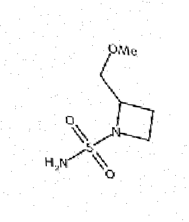 COCC1CCN1S(N)(=O)=O